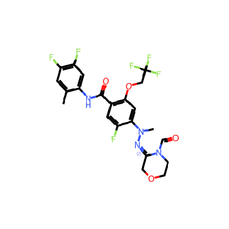 Cc1cc(F)c(F)cc1NC(=O)c1cc(F)c(N(C)/N=C2/COCCN2C=O)cc1OCC(F)(F)F